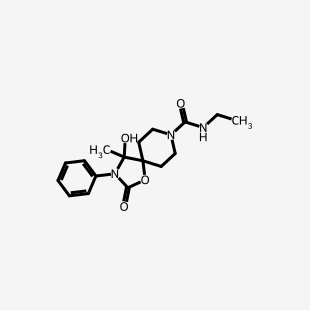 CCNC(=O)N1CCC2(CC1)OC(=O)N(c1ccccc1)C2(C)O